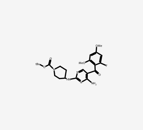 COc1cc(F)c(C(=O)c2cnc(NC3CCN(C(=O)OC(C)(C)C)CC3)nc2N)c(OC)c1